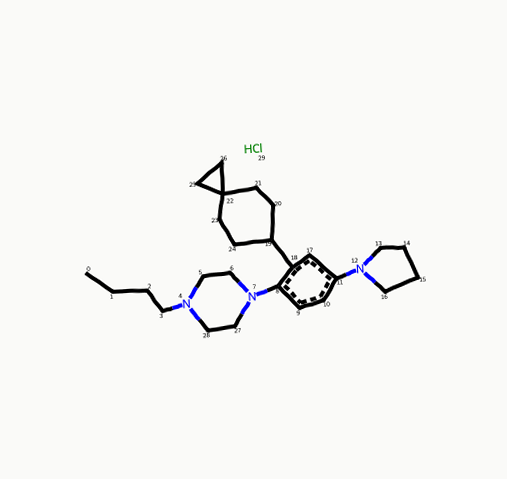 CCCCN1CCN(c2ccc(N3CCCC3)cc2C2CCC3(CC2)CC3)CC1.Cl